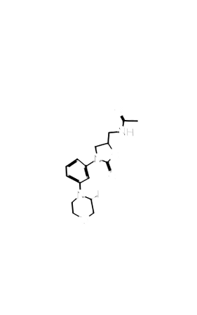 CC(=O)NCC1CN(c2cccc(N3CCOC[C@@H]3F)c2)C(=O)O1